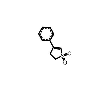 O=S1(=O)C=C(c2ccccc2)CC1